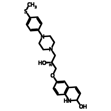 CSc1ccc(N2CCN(C[C@H](O)COc3ccc4c(c3)C=CC(O)N4)CC2)cc1